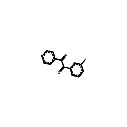 O=C(C(=O)c1cccc(F)c1)c1ccncc1